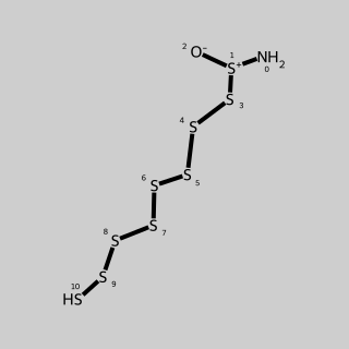 N[S+]([O-])SSSSSSSS